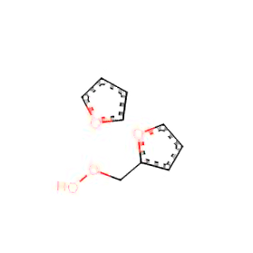 OOCc1ccco1.c1ccoc1